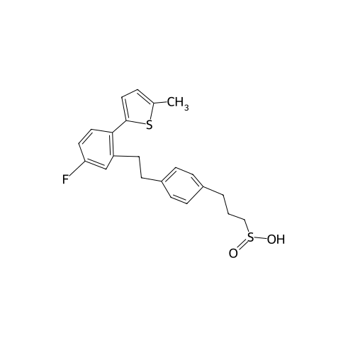 Cc1ccc(-c2ccc(F)cc2CCc2ccc(CCCS(=O)O)cc2)s1